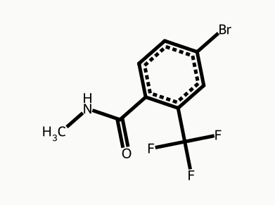 CNC(=O)c1ccc(Br)cc1C(F)(F)F